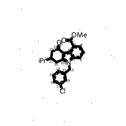 COC(=O)c1cccc2c1c1c(n2Cc2cccc(Cl)c2)CC(C(C)C)CC1=O